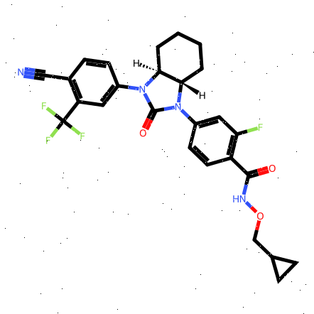 N#Cc1ccc(N2C(=O)N(c3ccc(C(=O)NOCC4CC4)c(F)c3)[C@H]3CCCC[C@@H]32)cc1C(F)(F)F